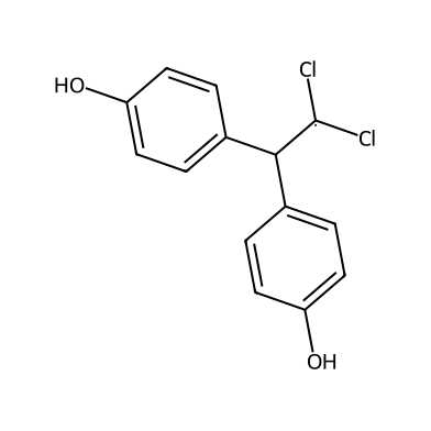 Oc1ccc(C([C](Cl)Cl)c2ccc(O)cc2)cc1